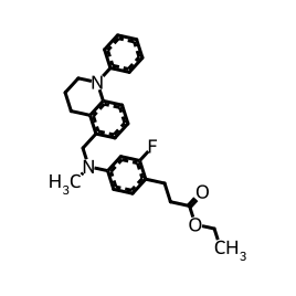 CCOC(=O)CCc1ccc(N(C)Cc2cccc3c2CCCN3c2ccccc2)cc1F